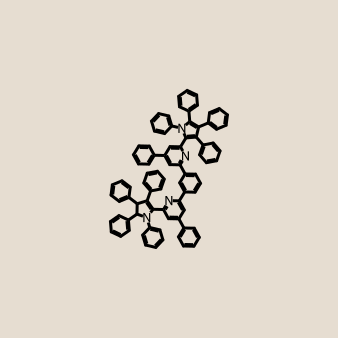 c1ccc(C2=C(c3cc(-c4ccccc4)cc(-c4cccc(-c5cc(-c6ccccc6)cc(-c6c(-c7ccccc7)c(-c7ccccc7)c(-c7ccccc7)n6-c6ccccc6)n5)c4)n3)N(c3ccccc3)C(c3ccccc3)C2c2ccccc2)cc1